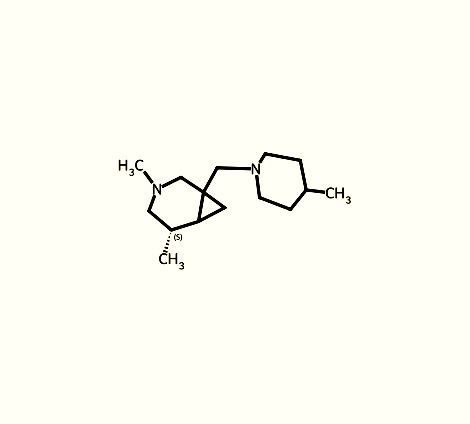 CC1CCN(CC23CC2[C@H](C)CN(C)C3)CC1